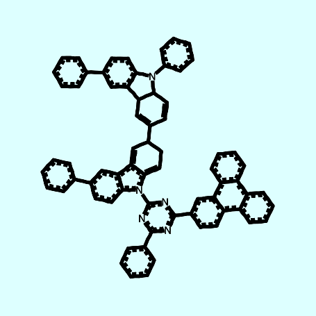 C1=CC2C(C=C1C1C=c3c(n(-c4nc(-c5ccccc5)nc(-c5ccc6c7ccccc7c7ccccc7c6c5)n4)c4ccc(-c5ccccc5)cc34)=CC1)c1cc(-c3ccccc3)ccc1N2c1ccccc1